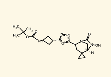 CC(C)(C)OC(=O)N[C@H]1C[C@H](c2nnc(C3CC4(CC4)[C@H]4CN3C(=O)N4O)o2)C1